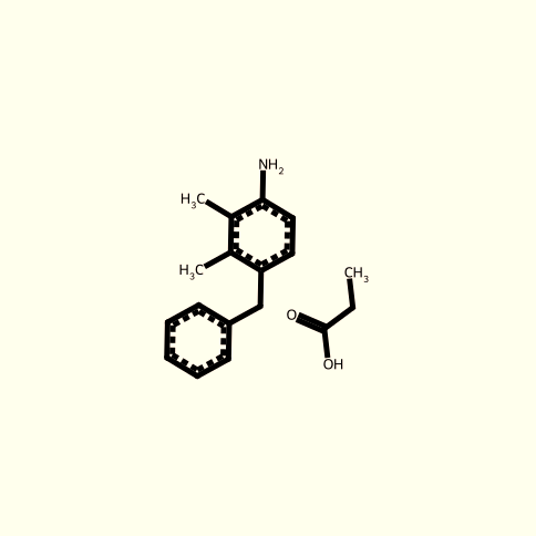 CCC(=O)O.Cc1c(N)ccc(Cc2ccccc2)c1C